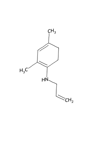 C=CCNC1=C(C)C=C(C)CC1